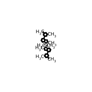 CC1=Cc2c(-c3cc(C)cc(C)c3)cccc2C1[Si](C)(C)C1C(C)=Cc2c(-c3cc(C)cc(C)c3)cccc21